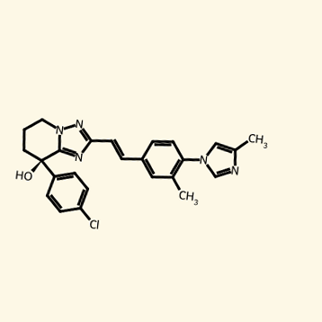 Cc1cn(-c2ccc(/C=C/c3nc4n(n3)CCC[C@@]4(O)c3ccc(Cl)cc3)cc2C)cn1